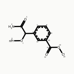 CCCOC(C(N)=O)c1cccc(C(=O)OCl)c1